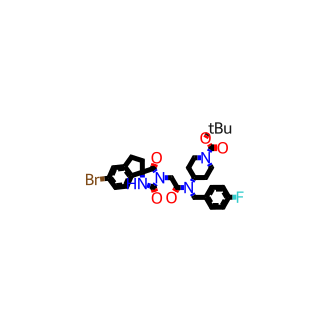 CC(C)(C)OC(=O)N1CCC(N(Cc2ccc(F)cc2)C(=O)CN2C(=O)NC3(CCc4cc(Br)ccc43)C2=O)CC1